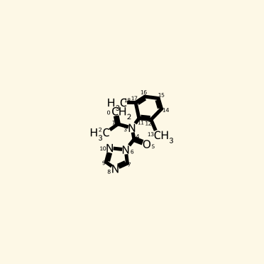 C=C(C)N(C(=O)n1cncn1)c1c(C)cccc1C